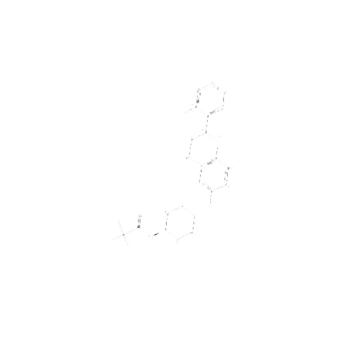 CCC(C)(O)C(=O)N[C@H]1CC[C@H](Oc2ccc3c(c2)CCC(c2ccccc2F)O3)CC1